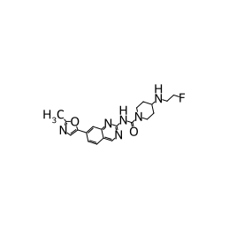 Cc1ncc(-c2ccc3cnc(NC(=O)N4CCC(NCCF)CC4)nc3c2)o1